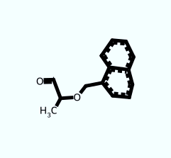 CC([C]=O)OCc1cccc2ccccc12